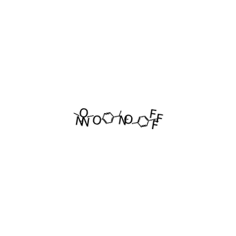 C/C(=N\OCc1ccc(C(F)(F)F)cc1)c1ccc(OCc2nnc(C)o2)cc1